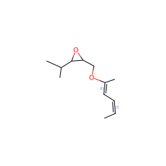 C/C=C\C=C(/C)OCC1OC1C(C)C